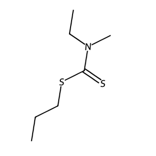 CCCSC(=S)N(C)CC